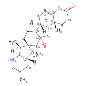 C[C@@H]1CN[C@H]2[C@@H](C)[C@@]3(CC[C@H]4[C@@H]5CC=C6C[C@@H](O)CC[C@]6(C)[C@H]5CC45OC53C)O[C@@H]2C1